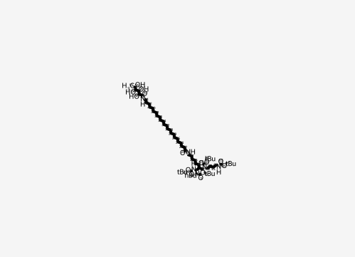 CCCCN(C(=O)OC(C)(C)C)C(NC(=O)OC(C)(C)C)C(CCCCCCNC(=O)CCCCCCCCCCCCCCCCCCCCCCCNC(=O)[C@H](O)[C@@H](O)[C@H](O)[C@@H](C)O)CN(CCCCNC(=O)OC(C)(C)C)C(=O)OC(C)(C)C